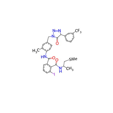 CSCC(C)NC(=O)c1c(I)cccc1C(=O)Nc1ccc(CN2N=NC(c3cccc(C(F)(F)F)c3)C2=O)cc1C